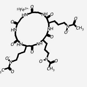 CC(=O)N([O-])CCCC1NC(=O)CNC(=O)CNC(=O)CNC(=O)C(CCCN([O-])C(C)=O)NC(=O)C(CCCN([O-])C(C)=O)NC1=O.[55Fe+3]